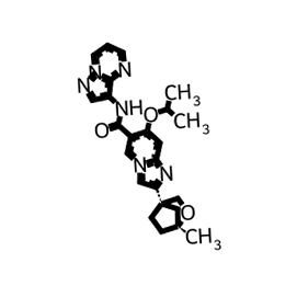 CC(C)Oc1cc2nc([C@@]34CC[C@@](C)(C3)OC4)cn2cc1C(=O)Nc1cnn2cccnc12